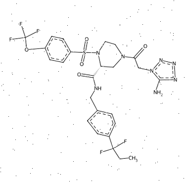 CCC(F)(F)c1ccc(CNC(=O)[C@H]2CN(C(=O)Cn3nnnc3N)CCN2S(=O)(=O)c2ccc(OC(F)(F)F)cc2)cc1